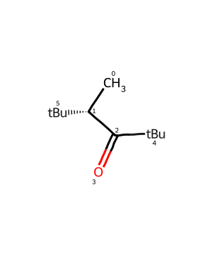 C[C@H](C(=O)C(C)(C)C)C(C)(C)C